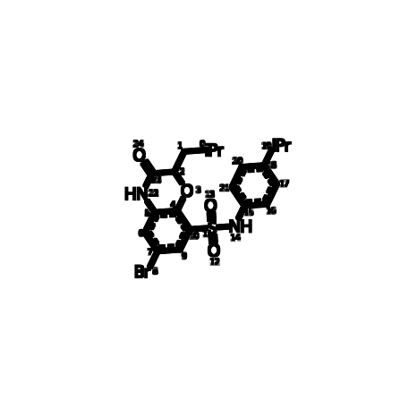 CC(C)CC1Oc2c(cc(Br)cc2S(=O)(=O)Nc2ccc(C(C)C)cc2)NC1=O